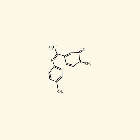 CC(=Nc1ccc(C)cc1)c1ccn(C)c(=O)c1